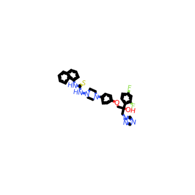 OC(COc1ccc(N2CCN(NC(=S)Nc3cccc4ccccc34)CC2)cc1)(Cn1cncn1)c1ccc(F)cc1F